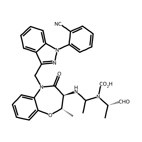 CC(N[C@@H]1C(=O)N(Cc2nn(-c3ccccc3C#N)c3ccccc23)c2ccccc2O[C@H]1C)N(C(=O)O)[C@@H](C)C=O